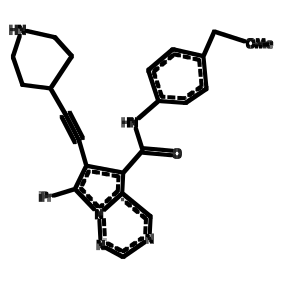 COCc1ccc(NC(=O)c2c(C#CC3CCNCC3)c(C(C)C)n3ncncc23)cc1